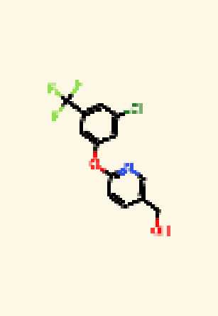 OCc1ccc(Oc2cc(Cl)cc(C(F)(F)F)c2)nc1